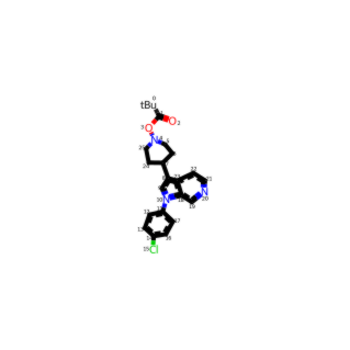 CC(C)(C)C(=O)ON1CCC(c2cn(-c3ccc(Cl)cc3)c3cnccc23)CC1